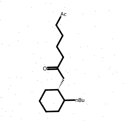 CCCCC1CCCC[C@@H]1CC(=O)CCCCC(C)=O